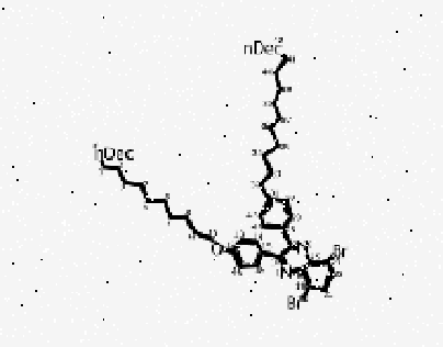 CCCCCCCCCCCCCCCCCCCCOc1ccc(-c2nc3c(Br)ccc(Br)c3nc2-c2ccc(CCCCCCCCCCCCCCCCCCCC)cc2)cc1